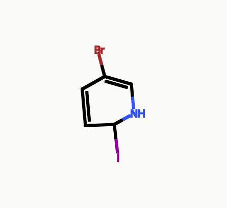 BrC1=CNC(I)C=C1